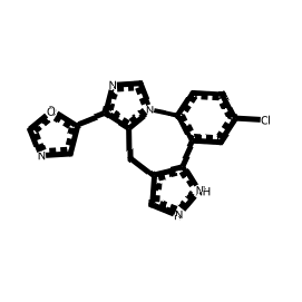 Clc1ccc2c(c1)-c1[nH]ncc1Cc1c(-c3cnco3)ncn1-2